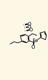 CCCc1ccc(CC)c([C](=O)[Fe][C]2=CC=CC2)c1.[C]=O.[C]=O.[C]=O